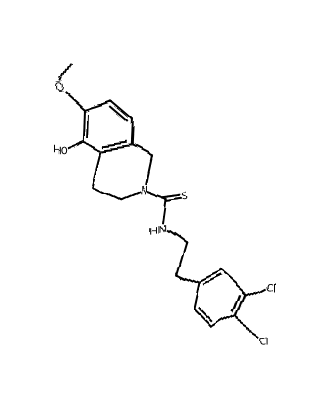 COc1ccc2c(c1O)CCN(C(=S)NCCc1ccc(Cl)c(Cl)c1)C2